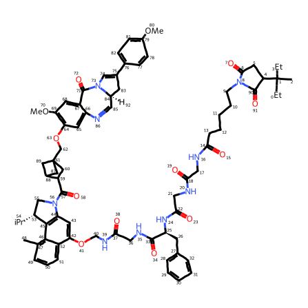 CCC(C)(CC)C1CC(=O)N(CCCCCC(=O)NCC(=O)NCC(=O)N[C@@H](Cc2ccccc2)C(=O)NCC(=O)NCOc2cc3c(c4c(C)cccc24)[C@H](C(C)C)CN3C(=O)C2CC3(COc4cc5c(cc4OC)C(=O)N4C=C(c6ccc(OC)cc6)C[C@H]4C=N5)CC2C3)C1=O